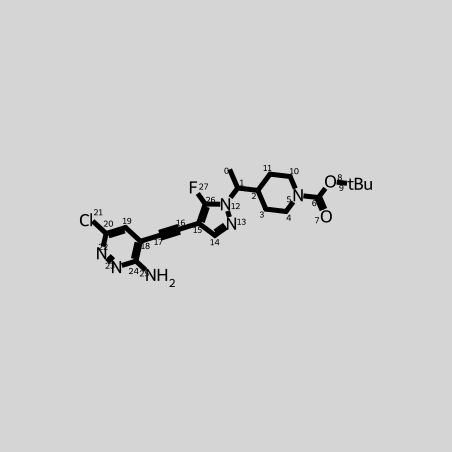 CC(C1CCN(C(=O)OC(C)(C)C)CC1)n1ncc(C#Cc2cc(Cl)nnc2N)c1F